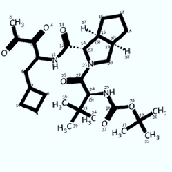 CC(=O)C(=O)C(CC1CCC1)NC(=O)[C@@H]1[C@H]2CCC[C@H]2CN1C(=O)[C@@H](NC(=O)OC(C)(C)C)C(C)(C)C